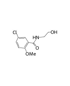 COc1ccc(Cl)cc1C(=O)NCCO